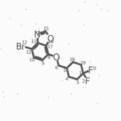 FC1(F)CCC(COc2ccc(Br)c3ncoc23)CC1